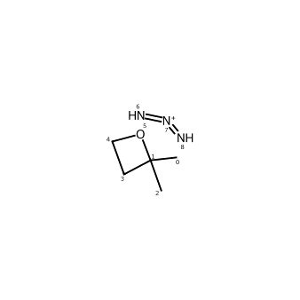 CC1(C)CCO1.N=[N+]=N